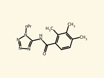 CCCn1nnnc1NC(=O)c1ccc(C)c(C)c1C